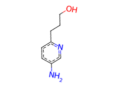 Nc1ccc(CCCO)nc1